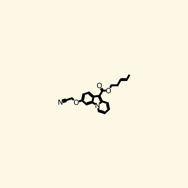 CC=CCCOC(=O)c1c2ccc(OCC#N)cc2n2ccccc12